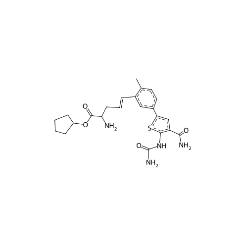 Cc1ccc(-c2cc(C(N)=O)c(NC(N)=O)s2)cc1C=CCC(N)C(=O)OC1CCCC1